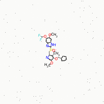 COc1cc2[nH]c([S+]([O-])Cc3ncc(OC)c(OCc4ccccc4)c3C)nc2cc1OC(F)F